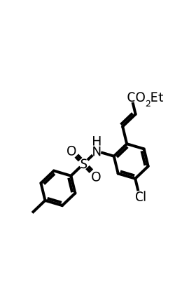 CCOC(=O)/C=C/c1ccc(Cl)cc1NS(=O)(=O)c1ccc(C)cc1